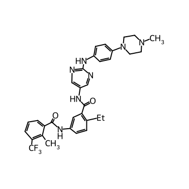 CCc1ccc(NC(=O)c2cccc(C(F)(F)F)c2C)cc1C(=O)Nc1cnc(Nc2ccc(N3CCN(C)CC3)cc2)nc1